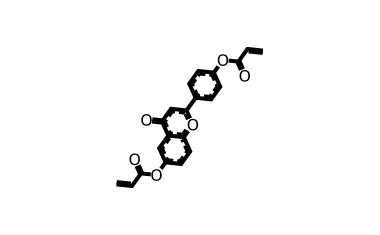 C=CC(=O)Oc1ccc(-c2cc(=O)c3cc(OC(=O)C=C)ccc3o2)cc1